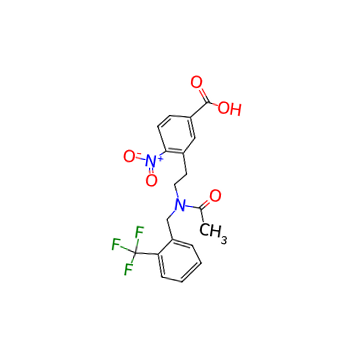 CC(=O)N(CCc1cc(C(=O)O)ccc1[N+](=O)[O-])Cc1ccccc1C(F)(F)F